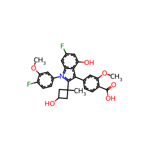 COc1cc(-n2c(C3(C)CC(O)C3)c(-c3ccc(C(=O)O)c(OC)c3)c3c(O)cc(F)cc32)ccc1F